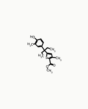 CCC(CC)(c1ccc(O)c(C)c1)c1cc(C)c(C(=O)OC)s1